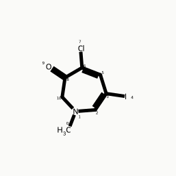 CN1C=C(I)C=C(Cl)C(=O)C1